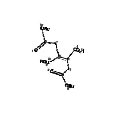 CC(C)COC(=O)C/C(C(=O)O)=C(/CC(=O)OCC(C)C)C(=O)O